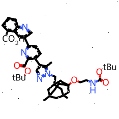 Cc1c(-c2ccc(-c3cnc4cccc(C(=O)O)c4c3)nc2C(=O)OC(C)(C)C)cnn1CC12CC3(C)CC(C)(C1)CC(OCCNC(=O)OC(C)(C)C)(C3)C2